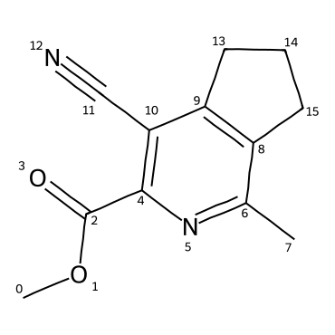 COC(=O)c1nc(C)c2c(c1C#N)CCC2